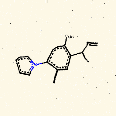 C=CC(C)c1cc(C)c(-n2cccc2)cc1OC(C)=O